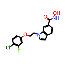 O=C(NO)c1ccc2ccn(CCOc3ccc(Cl)c(F)c3)c2c1